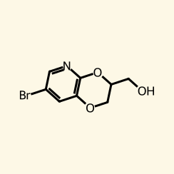 OCC1COc2cc(Br)cnc2O1